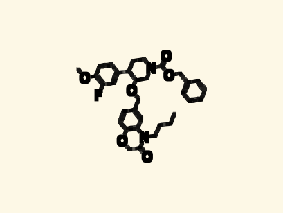 CCCCN1C(=O)COc2ccc(COC3CN(C(=O)OCc4ccccc4)CCC3c3ccc(OC)c(F)c3)cc21